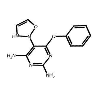 Nc1nc(N)c(N2NC=CO2)c(Oc2ccccc2)n1